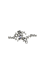 COCCCOc1cc(Cl)cc(CN/C(N)=N\C(=O)c2c(-c3ccc(OC)cc3)noc2C)c1